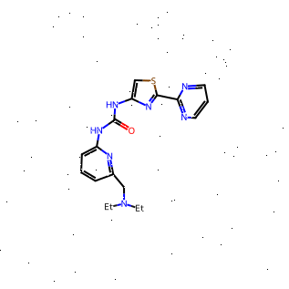 CCN(CC)Cc1cccc(NC(=O)Nc2csc(-c3ncccn3)n2)n1